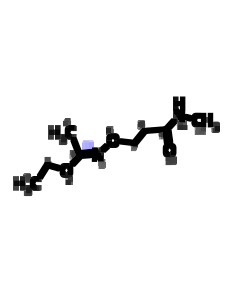 CCO/C(C)=N/OCCC(=O)NC